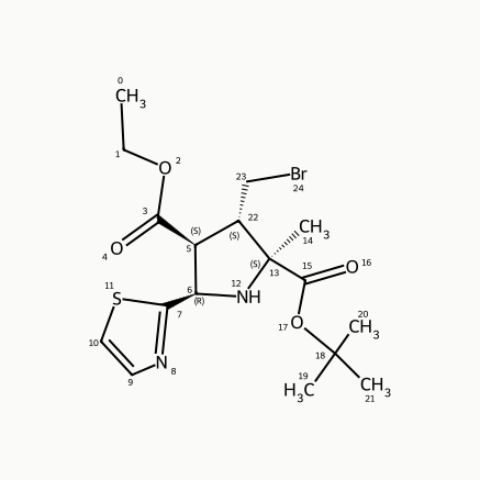 CCOC(=O)[C@@H]1[C@H](c2nccs2)N[C@](C)(C(=O)OC(C)(C)C)[C@H]1CBr